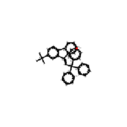 CC(C)(C)c1ccc2c(c1)C(=CC(c1ccccc1)(c1ccccc1)c1ccccc1)c1ccccc1-2